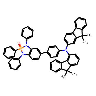 CC1(C)c2ccccc2-c2ccc(N(c3ccc(-c4ccc5c(c4)N(c4ccccc4)P(=O)(c4ccccc4)N5c4ccccc4)cc3)c3cccc4c3-c3ccccc3C4(C)C)cc21